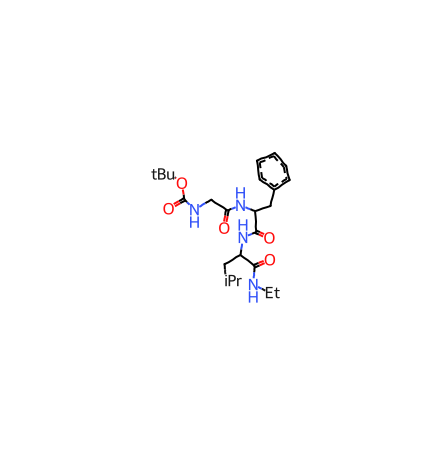 CCNC(=O)C(CC(C)C)NC(=O)C(Cc1ccccc1)NC(=O)CNC(=O)OC(C)(C)C